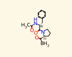 BC(=O)[C@@H]1CCCN1C(=O)[C@@H](Cc1ccccc1)NC(C)=O